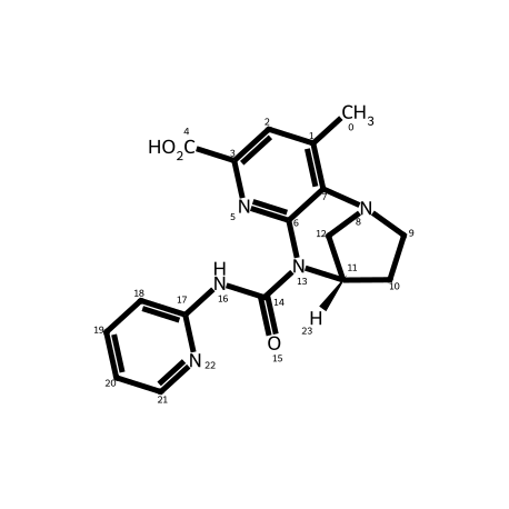 Cc1cc(C(=O)O)nc2c1N1CC[C@@H](C1)N2C(=O)Nc1ccccn1